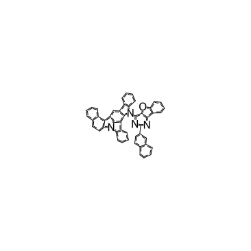 c1ccc2cc(-c3nc(-n4c5ccccc5c5cc6c7c8ccccc8ccc7n7c8ccccc8c(c54)c67)c4oc5ccccc5c4n3)ccc2c1